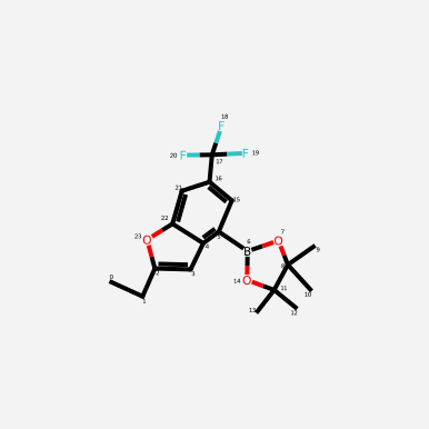 CCc1cc2c(B3OC(C)(C)C(C)(C)O3)cc(C(F)(F)F)cc2o1